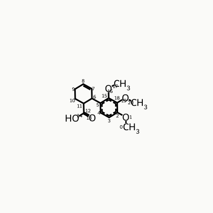 COc1ccc(C2C=CCCC2C(=O)O)c(OC)c1OC